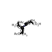 CC(=O)OCCC(C)OC(=O)Oc1cc(/C=C/c2ccc(OC(=O)OC(C)CCCC(=O)O)cc2)cc(OC(=O)OC(C)CCOC(C)=O)c1